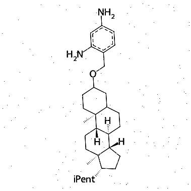 CCCC(C)[C@H]1CC[C@H]2[C@@H]3CCC4CC(OCc5ccc(N)cc5N)CC[C@]4(C)[C@H]3CC[C@]12C